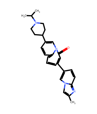 Cc1cn2cc(C3=C\C(=O)N4C=C(C5CCN(C(C)C)CC5)C=C\C4=C/C=C/3)ccc2n1